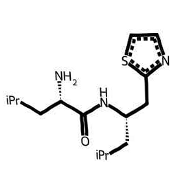 CC(C)C[C@@H](Cc1nccs1)NC(=O)[C@@H](N)CC(C)C